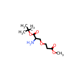 COC(=O)CCOCC(N)C(=O)OC(C)(C)C